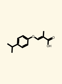 C/C(=C\Oc1ccc(C(C)C)cc1)C(=O)O